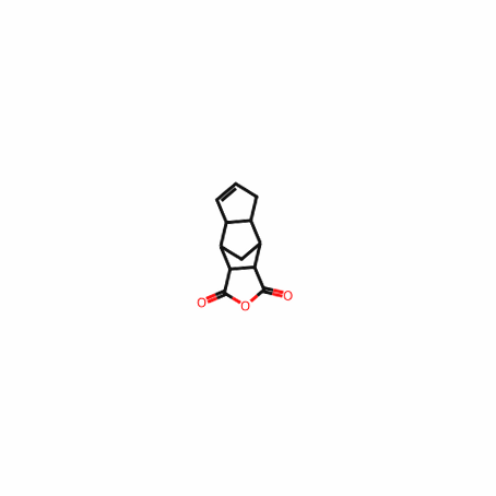 O=C1OC(=O)C2C3CC(C4C=CCC43)C12